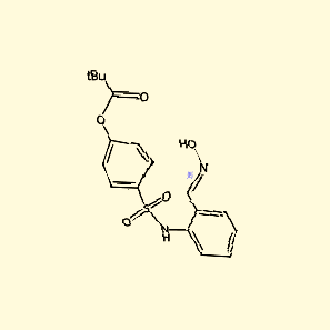 CC(C)(C)C(=O)Oc1ccc(S(=O)(=O)Nc2ccccc2/C=N/O)cc1